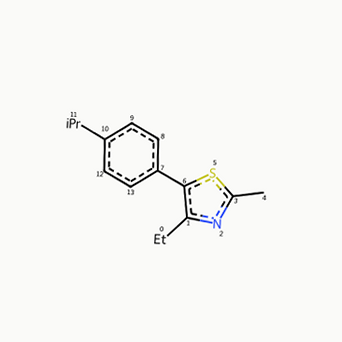 CCc1nc(C)sc1-c1ccc(C(C)C)cc1